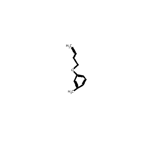 C=CCCOc1cccc(C)c1